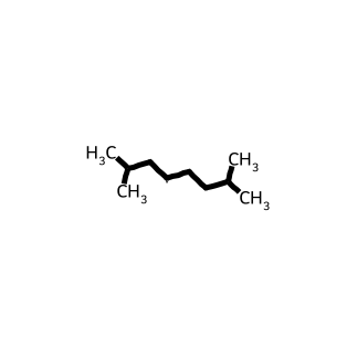 CC(C)C[CH]CCC(C)C